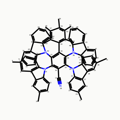 Cc1ccc2c(c1)c1cc(C)ccc1n2-c1c(C#N)c(-n2c3ccc(C)cc3c3cc(C)ccc32)c(-n2c3ccccc3c3ccccc32)c(-c2c(C)c(C)c(C)c(C)c2C)c1-n1c2ccccc2c2ccccc21